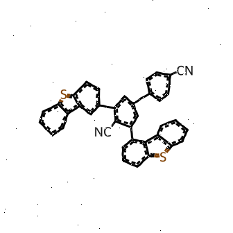 N#Cc1ccc(-c2cc(-c3ccc4sc5ccccc5c4c3)c(C#N)c(-c3cccc4sc5ccccc5c34)c2)cc1